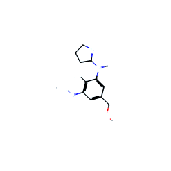 CCOCc1cc(NC=O)c(C)c(N(CC)C2CCCN2)c1